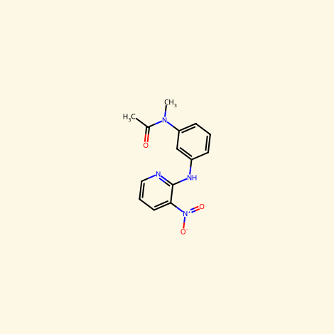 CC(=O)N(C)c1cccc(Nc2ncccc2[N+](=O)[O-])c1